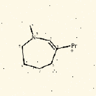 CC(C)C1=CN(C)CCCC1